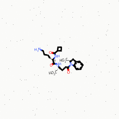 NCCCC[C@H](NC(=O)C1CCC1)C(=O)N[C@H](CCC(=O)N1c2ccccc2C[C@H]1C(=O)O)C(=O)O